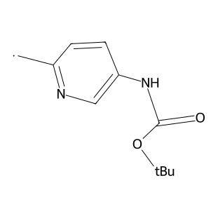 [CH2]c1ccc(NC(=O)OC(C)(C)C)cn1